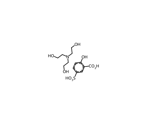 O=C(O)c1cc(S(=O)(=O)O)ccc1O.OCCN(CCO)CCO